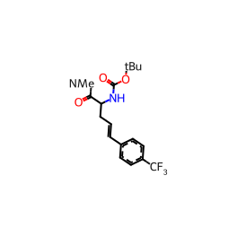 CNC(=O)C(C/C=C/c1ccc(C(F)(F)F)cc1)NC(=O)OC(C)(C)C